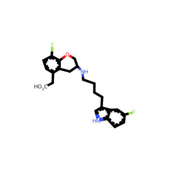 O=C(O)Cc1ccc(F)c2c1CC(NCCCCc1c[nH]c3ccc(F)cc13)CO2